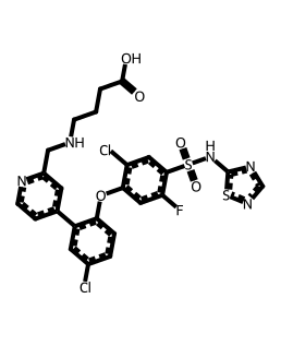 O=C(O)CCCNCc1cc(-c2cc(Cl)ccc2Oc2cc(F)c(S(=O)(=O)Nc3ncns3)cc2Cl)ccn1